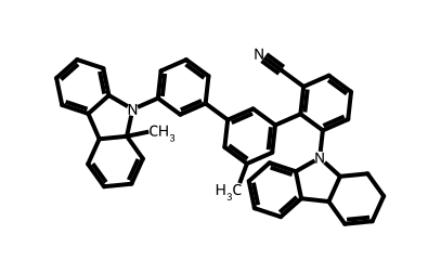 Cc1cc(-c2cccc(N3c4ccccc4C4C=CC=CC43C)c2)cc(-c2c(C#N)cccc2N2c3ccccc3C3C=CCCC32)c1